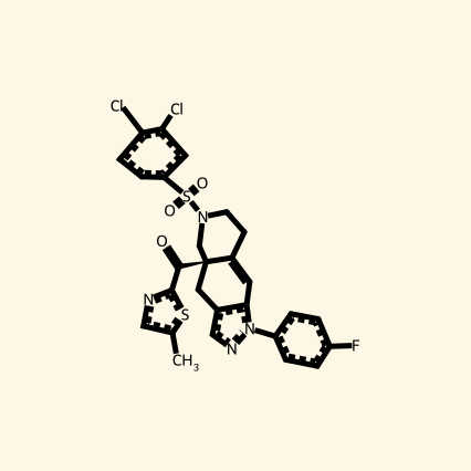 Cc1cnc(C(=O)[C@]23Cc4cnn(-c5ccc(F)cc5)c4C=C2CCN(S(=O)(=O)c2ccc(Cl)c(Cl)c2)C3)s1